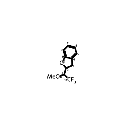 COC(C1Cc2ccccc2O1)C(F)(F)F